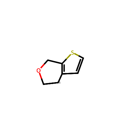 [C]1COCc2sccc21